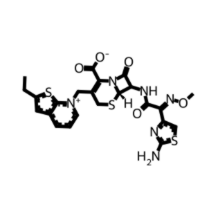 CCc1cc2ccc[n+](CC3=C(C(=O)[O-])N4C(=O)C(NC(=O)C(=NOC)c5csc(N)n5)[C@@H]4SC3)c2s1